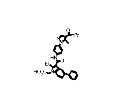 CCCC(=O)c1cnn(-c2ccc(NC(=O)c3c(CC)n(CC(=O)O)c4ccc(-c5ccccc5)cc34)cc2)c1C